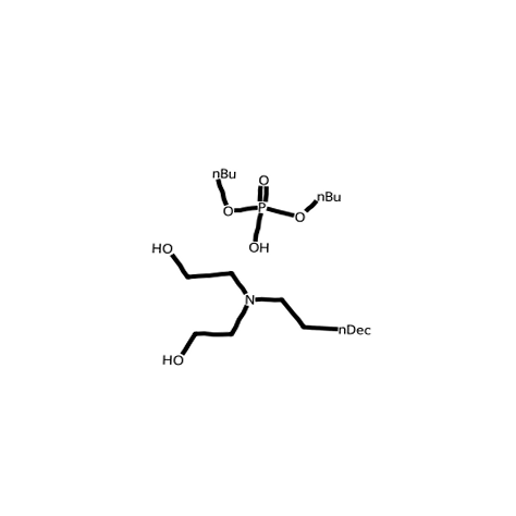 CCCCCCCCCCCCN(CCO)CCO.CCCCOP(=O)(O)OCCCC